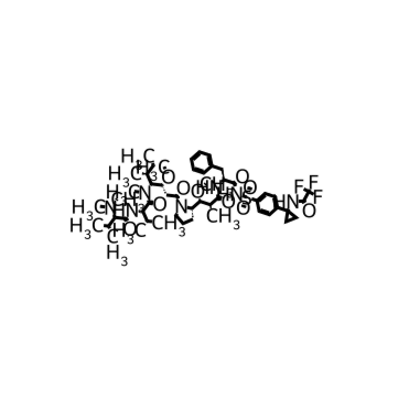 CC[C@H](C)[C@@H]([C@@H](CC(=O)N1CCC[C@H]1[C@H](OC)[C@@H](C)C(=O)N[C@@H](Cc1ccccc1)C(=O)NS(=O)(=O)c1ccc(C2(NC(=O)C(F)(F)F)CC2)cc1)OC)N(C)C(=O)[C@@H](NC(=O)C(C(C)C)N(C)C)C(C)C